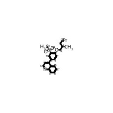 CC(C)C[C@@H](C)COc1ccc(-c2ccnc3ccccc23)cc1S(C)(=O)=O